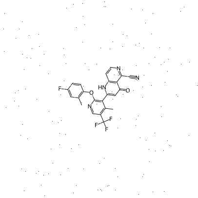 Cc1cc(F)ccc1Oc1ncc(C(F)(F)F)c(C)c1-c1cc(=O)c2c(C#N)nccc2[nH]1